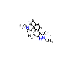 CC1=NN(C)C(C)C1c1ccc2c(c1)[C@H](N(C)C)CC2